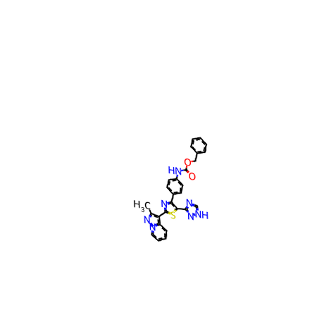 Cc1nn2ccccc2c1-c1nc(-c2ccc(NC(=O)OCc3ccccc3)cc2)c(-c2nc[nH]n2)s1